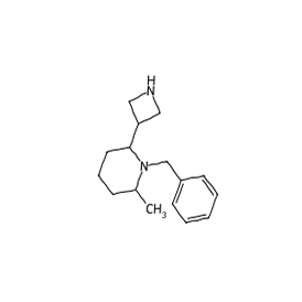 CC1CCCC(C2CNC2)N1Cc1ccccc1